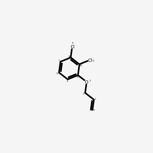 C=CCOc1cccc(Cl)c1Cl